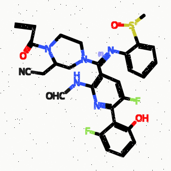 C=CC(=O)N1CCN(/C(=N/c2ccccc2[S+](C)[O-])c2cc(F)c(-c3c(O)cccc3F)nc2NC=O)CC1CC#N